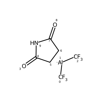 F[C](F)(F)[Al][C](F)(F)F.O=C1CCC(=O)N1